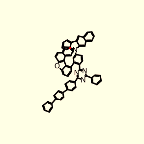 c1ccc(-c2ccc(-c3ccc(-c4nc(-c5ccccc5)nc(-c5ccc(-n6c7ccccc7c7cc8ccccc8cc76)cc5-c5cccc6oc7ccc8ccccc8c7c56)n4)cc3)cc2)cc1